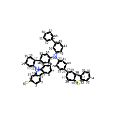 Fc1ccc2c3ccccc3n(-c3ccccc3-c3ccc(N(c4ccc(-c5ccc6sc7ccccc7c6c5)cc4)c4cccc(-c5ccccc5)c4)cc3)c2c1